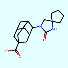 O=C1NC2(CCCC2)CN1C1C2CC3CC1CC(C(=O)O)(C3)C2